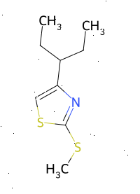 CCC(CC)c1csc(SC)n1